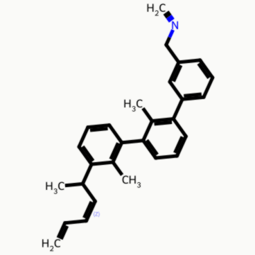 C=C/C=C\C(C)c1cccc(-c2cccc(-c3cccc(CN=C)c3)c2C)c1C